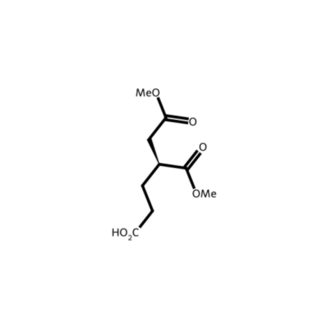 COC(=O)C[C@H](CCC(=O)O)C(=O)OC